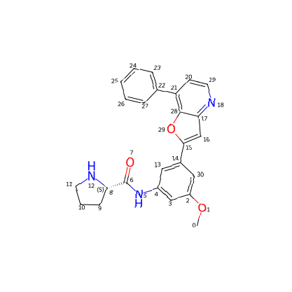 COc1cc(NC(=O)[C@@H]2CCCN2)cc(-c2cc3nccc(-c4ccccc4)c3o2)c1